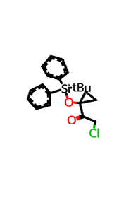 CC(C)(C)[Si](OC1(C(=O)CCl)CC1)(c1ccccc1)c1ccccc1